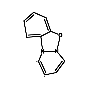 [C]1=[C]N2c3ccccc3ON2C=C1